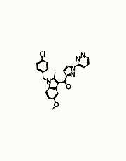 COc1ccc2c(c1)c(C(=O)c1ccn(-c3cccnn3)n1)c(C)n2Cc1ccc(Cl)cc1